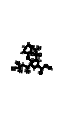 [2H]OC(=O)c1cc(N([2H])CC([2H])([2H])CC)c(Oc2ccccc2)c(S(=O)(=O)N([2H])[2H])c1